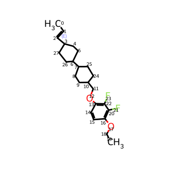 C/C=C/C1CCC(C2CCC(COc3ccc(OCC)c(F)c3F)CC2)CC1